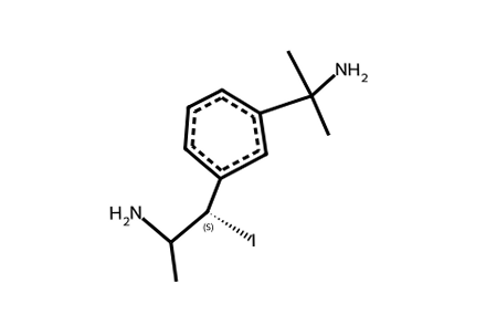 CC(N)[C@@H](I)c1cccc(C(C)(C)N)c1